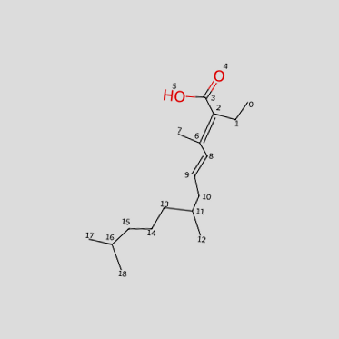 CCC(C(=O)O)=C(C)C=CCC(C)CCCC(C)C